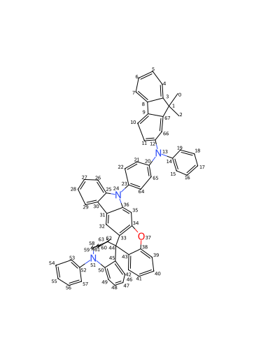 CC1(C)c2ccccc2-c2ccc(N(c3ccccc3)c3ccc(-n4c5ccccc5c5cc6c(cc54)Oc4ccccc4C64c5ccccc5N(c5ccccc5)c5ccccc54)cc3)cc21